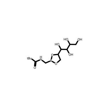 CC(C)(C)C(=O)NCB1OCC(C(O)C(O)C(O)CO)O1